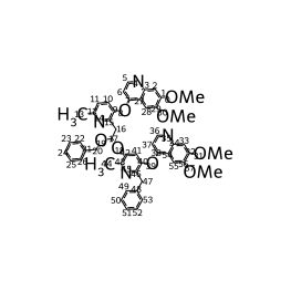 COc1cc2nccc(Oc3ccc(C)nc3CC(=O)OCc3ccccc3)c2cc1OC.COc1cc2nccc(Oc3ccc(C)nc3Cc3ccccc3)c2cc1OC